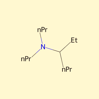 [CH2]CCC(CC)N(CCC)CCC